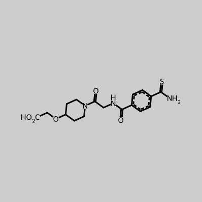 NC(=S)c1ccc(C(=O)NCC(=O)N2CCC(OCC(=O)O)CC2)cc1